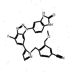 COCc1cc(C#N)ccc1Cn1nccc1-c1cc(F)c2nnn(-c3ccc4[nH]c(=O)[nH]c4c3)c2c1